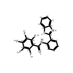 O=C(Nc1ccccc1-c1nc2ccccc2s1)c1c(F)c(F)c(F)c(F)c1F